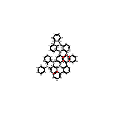 c1ccc(-c2cccc(-c3ccccc3)c2N2c3cc4c(cc3B3c5cccnc5N(c5ccccc5)c5nccc2c53)B2c3c(ccnc3N4c3ccccc3)-n3c4ccccc4c4cccc2c43)cc1